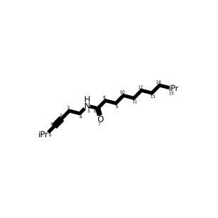 CC(C)C#CCCNC(=O)CCCCCCCC(C)C